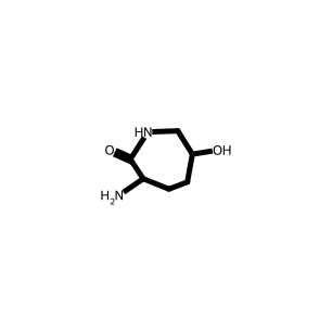 NC1CCC(O)CNC1=O